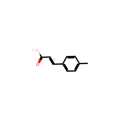 BC(=O)/C=C/c1ccc(C)cc1